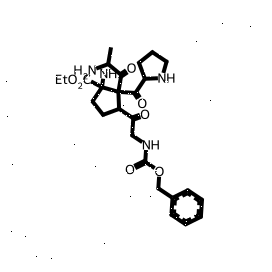 CCOC(=O)C1(N)CCC(C(=O)CNC(=O)OCc2ccccc2)C1(C(=O)C(C)N)C(=O)C1CCCN1